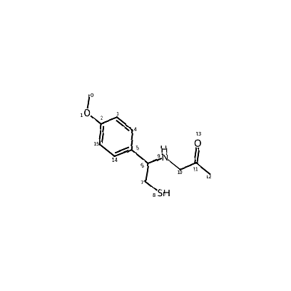 COc1ccc(C(CS)NCC(C)=O)cc1